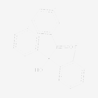 O=C(c1ccccc1)C(O)(c1ccccc1)c1ccccc1F